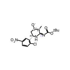 CN1/C(=N\C(=O)OC(C)(C)C)N[C@H](c2cc([N+](=O)[O-])ccc2Cl)C[S+]1[O-]